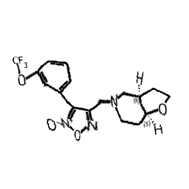 [O-][n+]1onc(CN2CC[C@@H]3OCC[C@@H]3C2)c1-c1cccc(OC(F)(F)F)c1